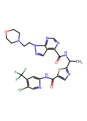 CC(NC(=O)c1ncnc2c1cnn2CCN1CCOCC1)c1ncc(C(=O)Nc2cc(C(F)(F)F)c(Cl)cn2)s1